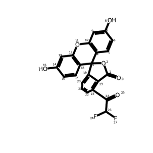 O=C1OC2(c3ccc(O)cc3Oc3cc(O)ccc32)c2cccc(C(=O)C(F)F)c21